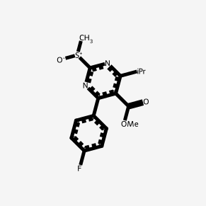 COC(=O)c1c(-c2ccc(F)cc2)nc([S+](C)[O-])nc1C(C)C